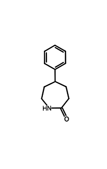 O=C1CCC(c2ccccc2)CCN1